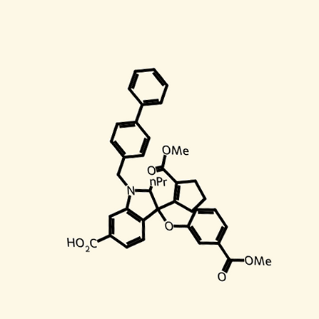 CCCC1N(Cc2ccc(-c3ccccc3)cc2)c2cc(C(=O)O)ccc2C1(Oc1cccc(C(=O)OC)c1)C1=C(C(=O)OC)CCC1